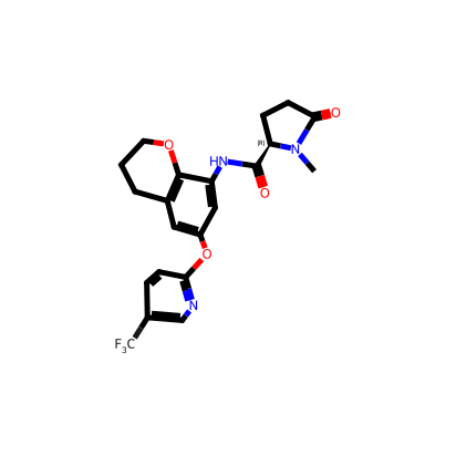 CN1C(=O)CC[C@@H]1C(=O)Nc1cc(Oc2ccc(C(F)(F)F)cn2)cc2c1OCCC2